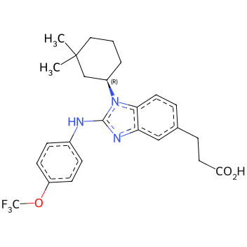 CC1(C)CCC[C@@H](n2c(Nc3ccc(OC(F)(F)F)cc3)nc3cc(CCC(=O)O)ccc32)C1